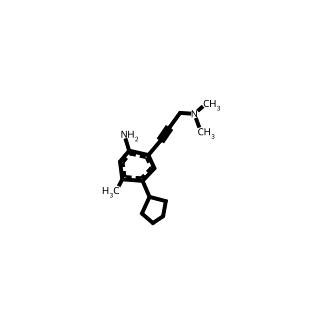 Cc1cc(N)c(C#CCN(C)C)cc1C1CCCC1